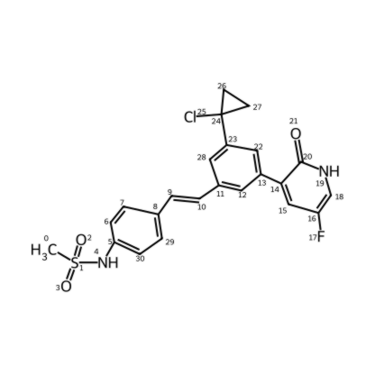 CS(=O)(=O)Nc1ccc(C=Cc2cc(-c3cc(F)c[nH]c3=O)cc(C3(Cl)CC3)c2)cc1